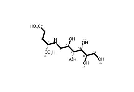 O=C(O)CC[C@H](NC[C@@H](O)[C@@H](O)[C@H](O)[C@H](O)CO)C(=O)O